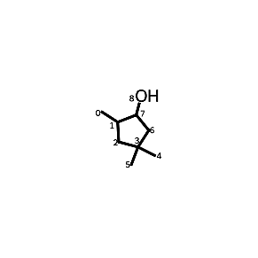 CC1CC(C)(C)CC1O